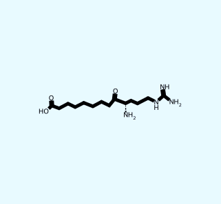 N=C(N)NCCC[C@H](N)C(=O)CCCCCCCC(=O)O